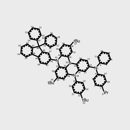 CC(C)c1ccc(N(c2ccccc2)c2ccc3c(c2)N(c2ccc(C(C)(C)C)cc2)c2cc(C(C)(C)C)cc4c2B3c2cc(C(C)(C)C)ccc2N4c2ccc3c(c2)C(c2ccccc2)(c2ccccc2)c2ccccc2-3)cc1